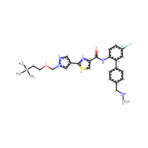 C[Si](C)(C)CCOCn1cc(-c2nc(C(=O)Nc3ccc(F)cc3-c3ccc(CNC(=O)O)cc3)cs2)cn1